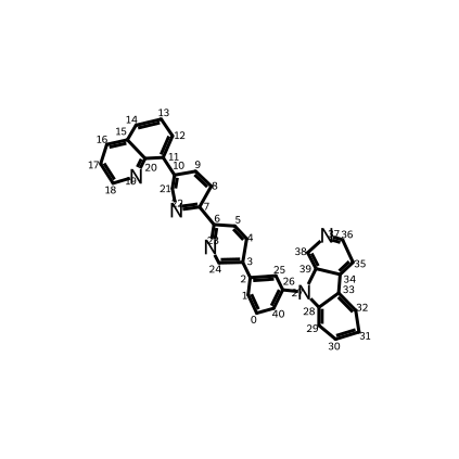 c1cc(-c2ccc(-c3ccc(-c4cccc5cccnc45)cn3)nc2)cc(-n2c3ccccc3c3ccncc32)c1